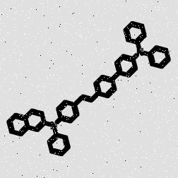 C(=C\c1ccc(N(c2ccccc2)c2ccc3ccccc3c2)cc1)/c1ccc(-c2ccc(N(c3ccccc3)c3ccccc3)cc2)cc1